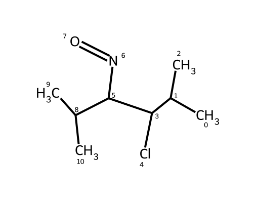 CC(C)C(Cl)C(N=O)C(C)C